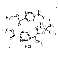 CNc1ccc(C(=O)OC)nc1.COC(=O)c1ccc(N(C)C(=O)OC(C)(C)C)cn1.Cl